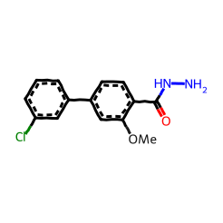 COc1cc(-c2cccc(Cl)c2)ccc1C(=O)NN